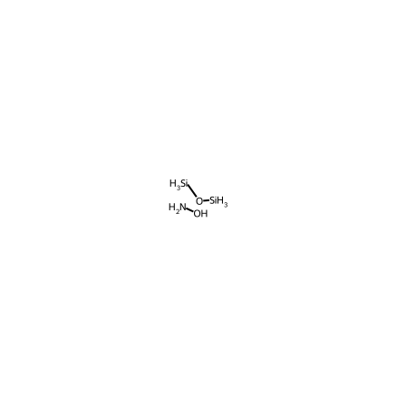 NO.[SiH3]O[SiH3]